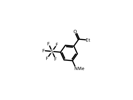 CCC(=O)c1cc(NC)cc(S(F)(F)(F)(F)F)c1